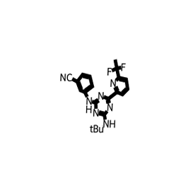 CC(C)(C)Nc1nc(Nc2cccc(C#N)c2)nc(-c2cccc(C(C)(F)F)n2)n1